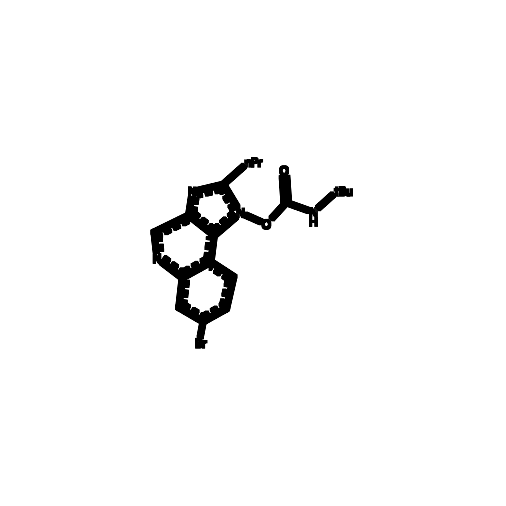 CCCc1nc2cnc3cc(Br)ccc3c2n1OC(=O)NC(C)(C)C